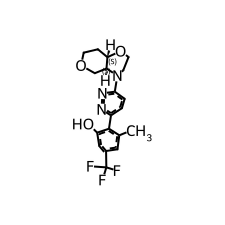 Cc1cc(C(F)(F)F)cc(O)c1-c1ccc(N2CCO[C@H]3CCOC[C@@H]32)nn1